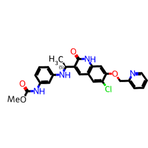 COC(=O)Nc1cccc(N[C@@H](C)c2cc3cc(Cl)c(OCc4ccccn4)cc3[nH]c2=O)c1